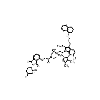 Cc1nn(C)c(C)c1-c1c(Cl)ccc2c(CCCOc3cccc4ccccc34)c(C(=O)O)n(CCN3CCN(C(=O)COc4cccc5c4C(=O)N(C4CCC(=O)NC4=O)C5=O)CC34CC4)c12